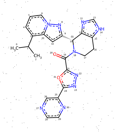 CC(C)c1cccn2nc([C@@H]3c4nc[nH]c4CCN3C(=O)c3nnc(-c4cnccn4)o3)cc12